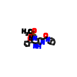 CS(=O)(=O)CNc1cc(C(=O)N2CC3CCC(C3)C2)ncc1C(=N)c1coc2ccccc12